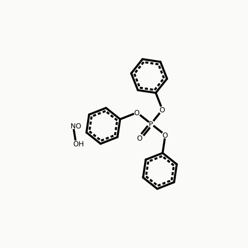 O=NO.O=P(Oc1ccccc1)(Oc1ccccc1)Oc1ccccc1